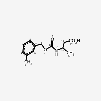 Cc1cccc(COC(=O)NC(C)CC(=O)O)c1